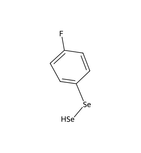 Fc1ccc([Se][SeH])cc1